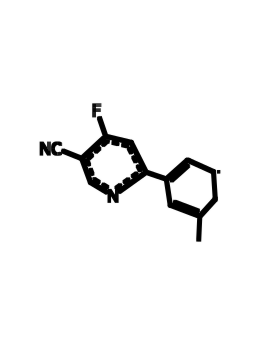 CC1=CC(c2cc(F)c(C#N)cn2)=C[CH]C1